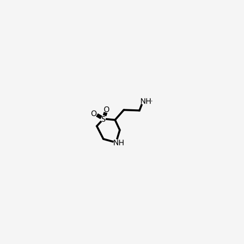 [NH]CCC1CNCCS1(=O)=O